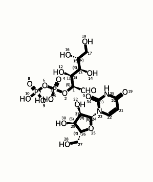 O=C[C@@H](OP(=O)(O)OP(=O)(O)O)[C@@H](O)[C@H](O)[C@H](O)CO.O=c1ccn([C@@H]2O[C@H](CO)[C@@H](O)[C@H]2O)c(=O)[nH]1